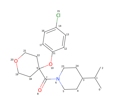 CC(C)C1CCN(C(=O)C2(Oc3ccc(Cl)cc3)CCOCC2)CC1